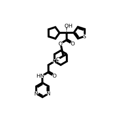 O=C(C[N+]12CCC(CC1)C(OC(=O)[C@](O)(c1ccsc1)C1CCCC1)C2)Nc1cncnc1